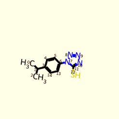 CC(C)c1ccc(-n2nnnc2S)cc1